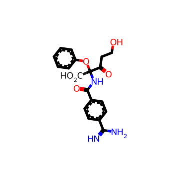 N=C(N)c1ccc(C(=O)NC(Oc2ccccc2)(C(=O)O)C(=O)CCO)cc1